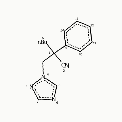 CCCCC(C#N)(Cn1cncn1)c1ccccc1